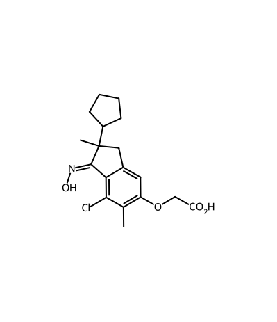 Cc1c(OCC(=O)O)cc2c(c1Cl)/C(=N\O)C(C)(C1CCCC1)C2